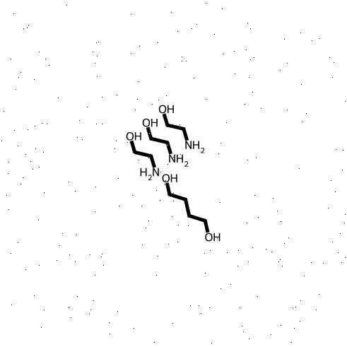 NCCO.NCCO.NCCO.OCCCCO